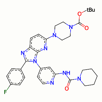 CC(C)(C)OC(=O)N1CCN(c2ccc3nc(-c4ccc(F)cc4)n(-c4ccnc(NC(=O)N5CCCCC5)c4)c3n2)CC1